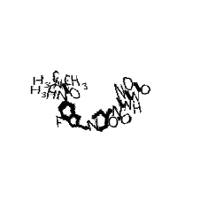 C[C@H](C(=O)Nc1cc(F)c2c(c1)CC(CN1CCC3(CC1)CN(c1cnc4c(n1)NC(=O)CO4)C(=O)O3)C2)N(C)C